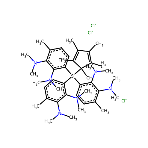 CC1=C(C)C(C)([Si](c2ccc(C)c(N(C)C)c2N(C)C)(c2ccc(C)c(N(C)C)c2N(C)C)c2ccc(C)c(N(C)C)c2N(C)C)[C]([Ti+3])=C1C.[Cl-].[Cl-].[Cl-]